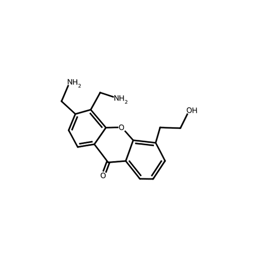 NCc1ccc2c(=O)c3cccc(CCO)c3oc2c1CN